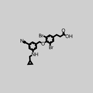 N#Cc1cc(COc2c(Br)cc(CCC(=O)O)cc2Br)cc(NCC2CC2)c1